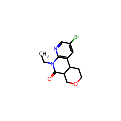 CCN1C(=O)C2COCCC2c2cc(Br)cnc21